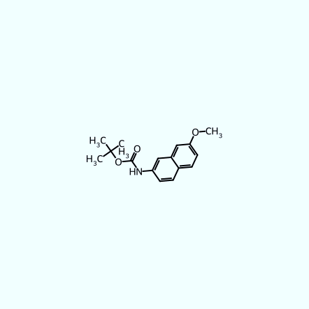 COc1ccc2ccc(NC(=O)OC(C)(C)C)cc2c1